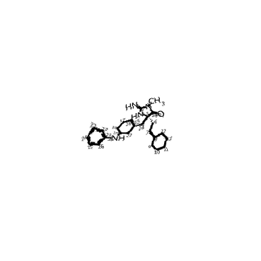 CN1C(=N)N[C@](CCC2CCCCC2)(C[C@@H]2CCCC(Nc3ccccc3)C2)C1=O